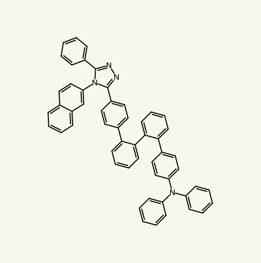 c1ccc(-c2nnc(-c3ccc(-c4ccccc4-c4ccccc4-c4ccc(N(c5ccccc5)c5ccccc5)cc4)cc3)n2-c2ccc3ccccc3c2)cc1